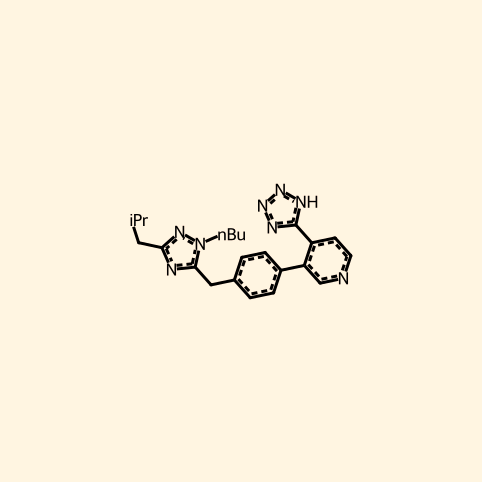 CCCCn1nc(CC(C)C)nc1Cc1ccc(-c2cnccc2-c2nnn[nH]2)cc1